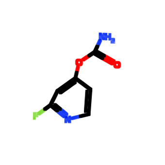 NC(=O)Oc1ccnc(F)c1